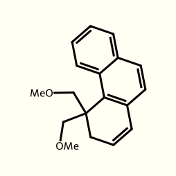 COCC1(COC)CC=Cc2ccc3ccccc3c21